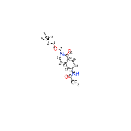 C[Si](C)(C)CCOCn1ccc2cc(NC(=O)C(F)(F)F)ccc2c1=O